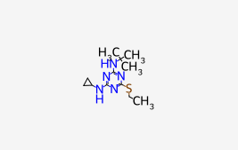 CCSc1nc(NC2CC2)nc(NC(C)(C)C)n1